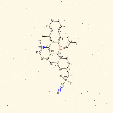 Cc1c2c(c(CC(C)C)c3ccccc13)Oc1c3ccc(CC(C)(C)C#N)cc3cc3cc[n+](C)c-2c13